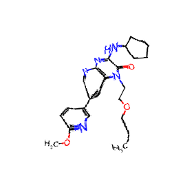 CCCOCCn1c(=O)c(NC2CCCCC2)nc2ncc(-c3ccc(OC)nc3)cc21